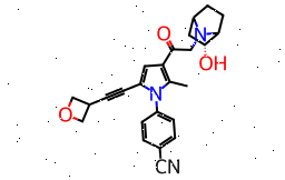 Cc1c(C(=O)CN2C3CCC2[C@H](O)C3)cc(C#CC2COC2)n1-c1ccc(C#N)cc1